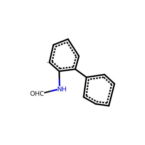 O=CNc1[c]cccc1-c1ccccc1